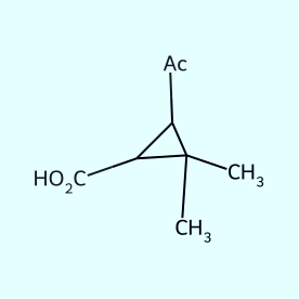 CC(=O)C1C(C(=O)O)C1(C)C